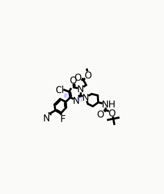 COC(=O)CN(C=O)/C(=N\C(=C(/C)Cl)c1ccc(C#N)c(F)c1)N1CCC(NC(=O)OC(C)(C)C)CC1